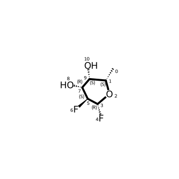 C[C@@H]1O[C@H](F)[C@@H](F)[C@H](O)[C@@H]1O